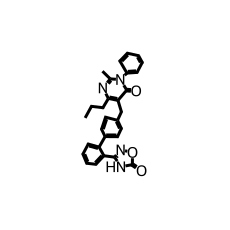 CCCc1nc(C)n(-c2ccccc2)c(=O)c1Cc1ccc(-c2ccccc2-c2noc(=O)[nH]2)cc1